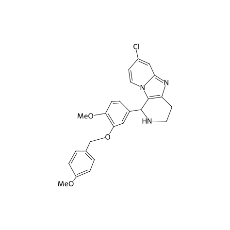 COc1ccc(COc2cc(C3NCCc4nc5cc(Cl)ccn5c43)ccc2OC)cc1